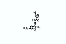 COc1ccc(C(C)N2CC(NC(=O)c3cn(C4CC4)nn3)C2)c(Cl)c1